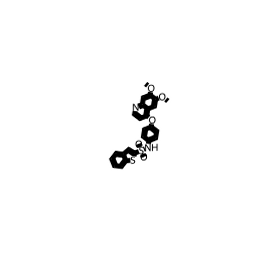 COc1cc2nccc(Oc3ccc(NS(=O)(=O)c4cc5ccccc5s4)cc3)c2cc1OC